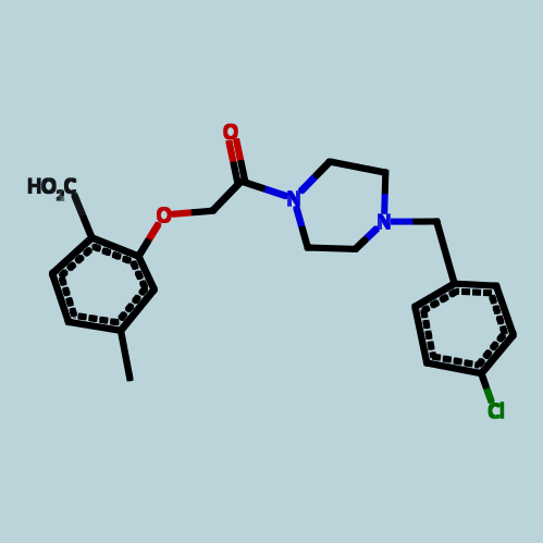 Cc1ccc(C(=O)O)c(OCC(=O)N2CCN(Cc3ccc(Cl)cc3)CC2)c1